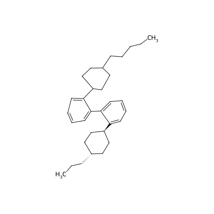 CCCCCC1CCC(c2ccccc2-c2ccccc2[C@H]2CC[C@H](CCC)CC2)CC1